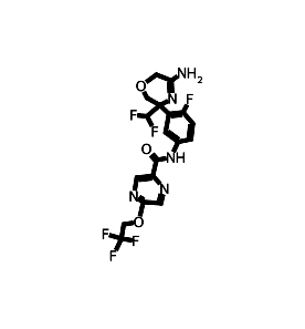 NC1=NC(c2cc(NC(=O)c3cnc(OCC(F)(F)F)cn3)ccc2F)(C(F)F)COC1